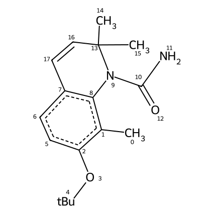 Cc1c(OC(C)(C)C)ccc2c1N(C(N)=O)C(C)(C)C=C2